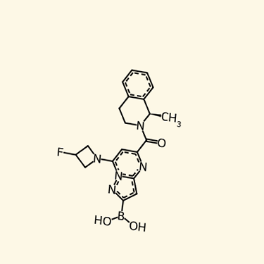 C[C@@H]1c2ccccc2CCN1C(=O)c1cc(N2CC(F)C2)n2nc(B(O)O)cc2n1